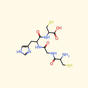 NC(CS)C(=O)NCC(=O)NC(Cc1c[nH]cn1)C(=O)NC(CS)C(=O)O